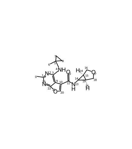 Cc1nc(NC2(C)CC2)c2c(C(=O)NC3[C@H]4COC[C@@H]34)coc2n1